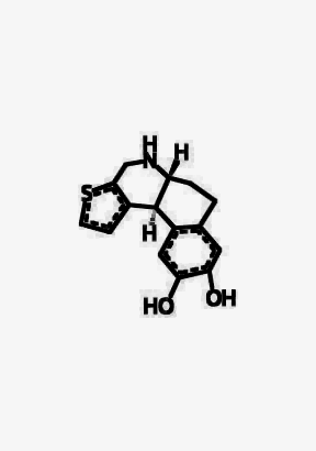 Oc1cc2c(cc1O)[C@H]1c3ccsc3CN[C@@H]1CC2